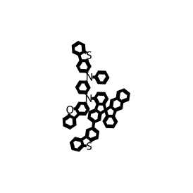 c1ccc(N(c2cccc(N(c3ccc4c(c3)oc3ccccc34)c3cccc4c3-c3ccc(-c5ccc6sc7ccccc7c6c5)cc3C43c4ccccc4-c4cc5ccccc5cc43)c2)c2ccc3c(c2)sc2ccccc23)cc1